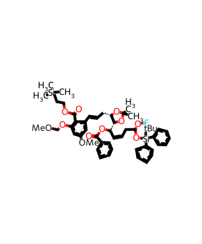 COCOc1cc(OC)cc(/C=C/C[C@@H]2OC(C)(C)O[C@@H]2C(/C=C\CC(OF)O[Si](c2ccccc2)(c2ccccc2)C(C)(C)C)OC(=O)c2ccccc2)c1C(=O)OCC[Si](C)(C)C